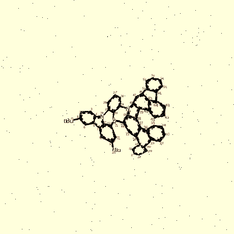 CC(C)(C)c1ccc2c(c1)c1cc(C(C)(C)C)cc3c1n2-c1cccc2c1B3c1cc3c4ccccc4c4ccccc4c3c3c4c5cccc6c5c(cc4n-2c13)-c1ccccc1-6